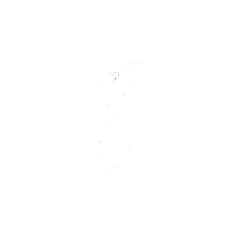 COc1ccc(CS[C@@H]2CS[C@@H](NC(=O)O)C2)cc1